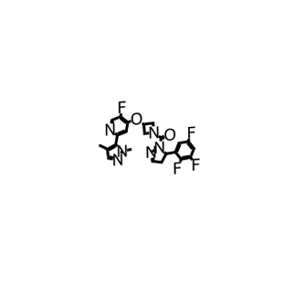 Cc1cnn(C)c1-c1cc(OC2CN(C(=O)N3N=CCC3c3cc(F)cc(F)c3F)C2)c(F)cn1